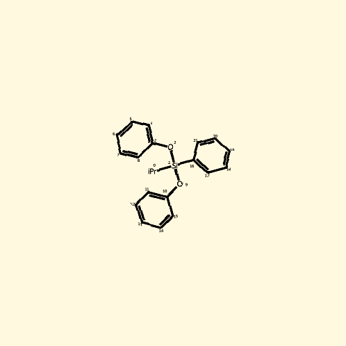 CC(C)[Si](Oc1ccccc1)(Oc1ccccc1)c1ccccc1